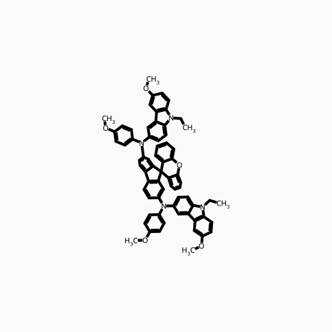 CCn1c2ccc(OC)cc2c2cc(N(c3ccc(OC)cc3)c3ccc4c(c3)C3(c5ccccc5Oc5ccccc53)c3cc(N(c5ccc(OC)cc5)c5ccc6c(c5)c5cc(OC)ccc5n6CC)ccc3-4)ccc21